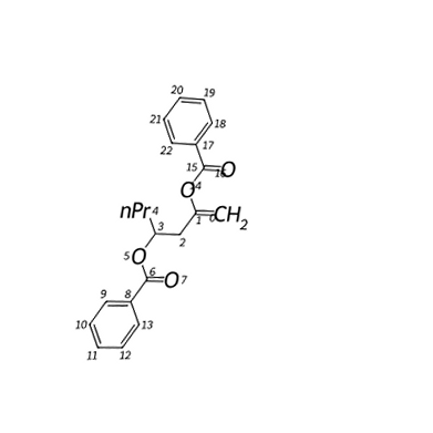 C=C(CC(CCC)OC(=O)c1ccccc1)OC(=O)c1ccccc1